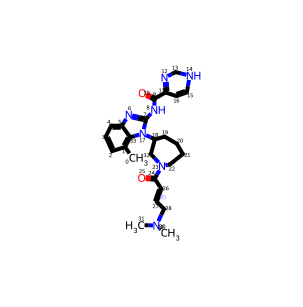 Cc1cccc2nc(NC(=O)C3=NCNC=C3)n(C3CCCCN(C(=O)/C=C/CN(C)C)C3)c12